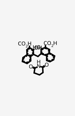 O=C(O)c1cc2ccccc2c(Cc2c(O)c(C(=O)O)cc3ccccc23)c1O.O=C1CCCC(=O)N1